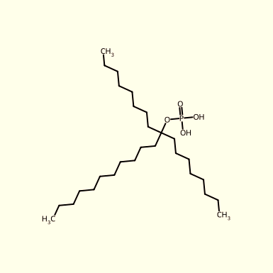 CCCCCCCCCCCC(CCCCCCCC)(CCCCCCCC)OP(=O)(O)O